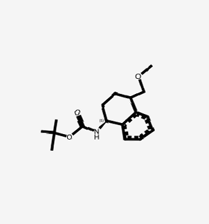 COCC1CC[C@H](NC(=O)OC(C)(C)C)c2ccccc21